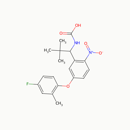 Cc1cc(F)ccc1Oc1ccc([N+](=O)[O-])c(C(NC(=O)O)C(C)(C)C)c1